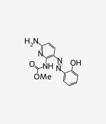 COC(=O)Nc1nc(N)ccc1/N=N/c1ccccc1O